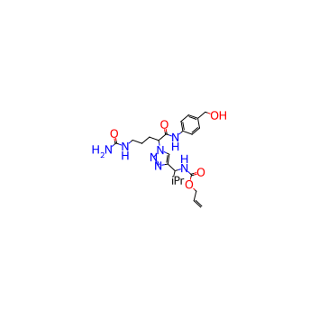 C=CCOC(=O)NC(c1cn(C(CCCNC(N)=O)C(=O)Nc2ccc(CO)cc2)nn1)C(C)C